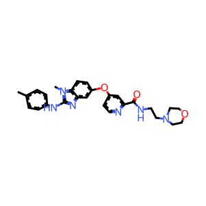 Cc1ccc(Nc2nc3cc(Oc4ccnc(C(=O)NCCN5CCOCC5)c4)ccc3n2C)cc1